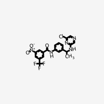 CC(Nc1cncc(Cl)n1)c1cccc(NC(=O)c2cc([N+](=O)[O-])cc(C(F)(F)F)c2)c1